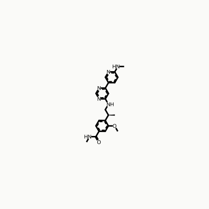 CNC(=O)c1ccc([C@H](C)CNc2cc(-c3ccc(NC)nc3)ncn2)c(OC)c1